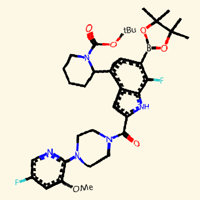 COc1cc(F)cnc1N1CCN(C(=O)c2cc3c(C4CCCCN4C(=O)OC(C)(C)C)cc(B4OC(C)(C)C(C)(C)O4)c(F)c3[nH]2)CC1